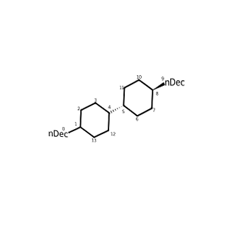 CCCCCCCCCCC1CCC([C@H]2CC[C@H](CCCCCCCCCC)CC2)CC1